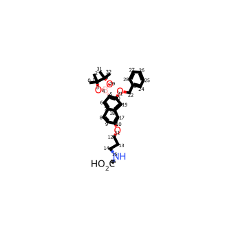 CC1(C)OB(c2cc3ccc(OCCCNC(=O)O)cc3cc2OCc2ccccc2)OC1(C)C